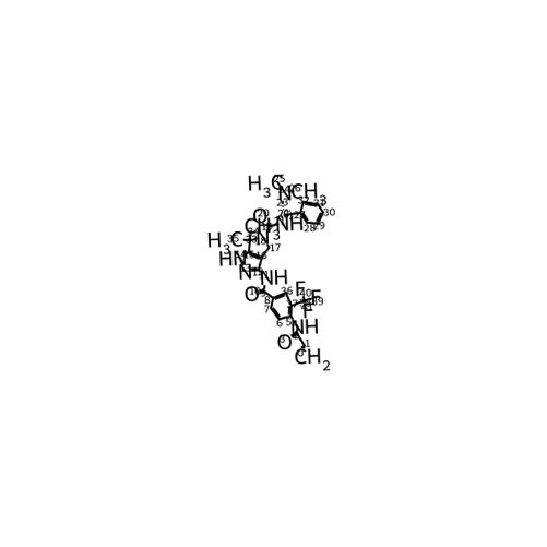 C=CC(=O)Nc1ccc(C(=O)Nc2n[nH]c3c2CN(C(=O)N[C@H](CN(C)C)c2ccccc2)C3(C)C)cc1C(F)(F)F